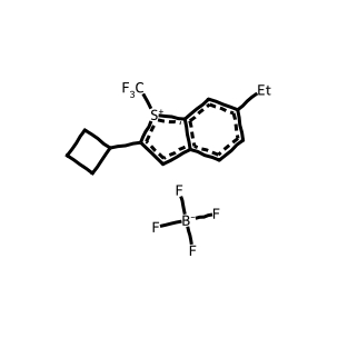 CCc1ccc2cc(C3CCC3)[s+](C(F)(F)F)c2c1.F[B-](F)(F)F